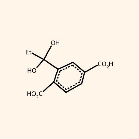 CCC(O)(O)c1cc(C(=O)O)ccc1C(=O)O